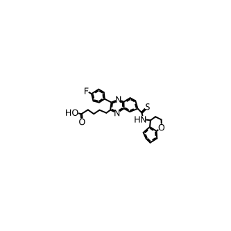 O=C(O)CCCCc1nc2cc(C(=S)NC3CCOc4ccccc43)ccc2nc1-c1ccc(F)cc1